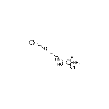 N#Cc1cc(C(O)CNCCCCCCOCCCCc2ccccc2)cc(F)c1N